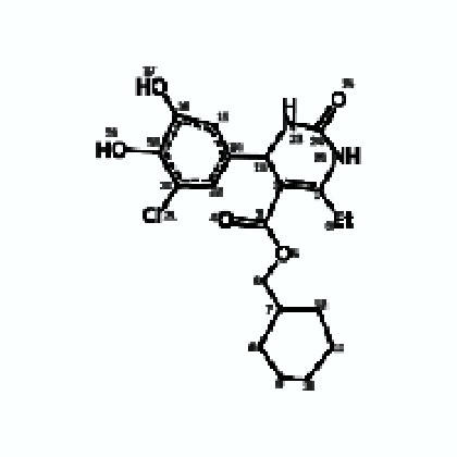 CCC1=C(C(=O)OCC2CCCCC2)C(c2cc(O)c(O)c(Cl)c2)NC(=O)N1